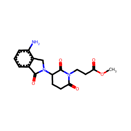 COC(=O)CCN1C(=O)CCC(N2Cc3c(N)cccc3C2=O)C1=O